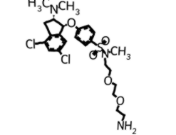 CN(C)[C@H]1Cc2c(Cl)cc(Cl)cc2[C@@H]1Oc1ccc(S(=O)(=O)N(C)CCOCCOCCN)cc1